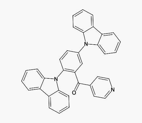 O=C(c1ccncc1)c1cc(-n2c3ccccc3c3ccccc32)ccc1-n1c2ccccc2c2ccccc21